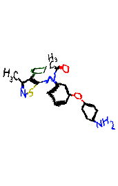 CC(=O)N(c1cccc(Oc2ccc(N)cc2)c1)c1snc(C)c1Cl